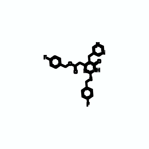 O=C(Cc1nc(SCc2ccc(F)cc2)[nH]c(=O)c1Cc1cncnc1)OCc1ccc(F)cc1